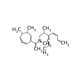 C=C/C=C\C(=C=CC)C(C)CN(C)C(=C)C1=CC(C)C(C)C=C=C1